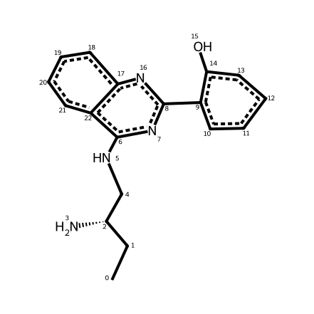 CC[C@H](N)CNc1nc(-c2ccccc2O)nc2ccccc12